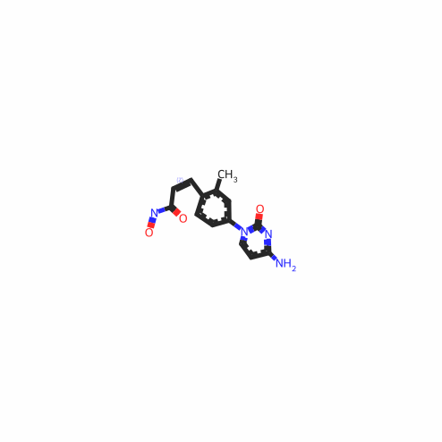 Cc1cc(-n2ccc(N)nc2=O)ccc1/C=C\C(=O)N=O